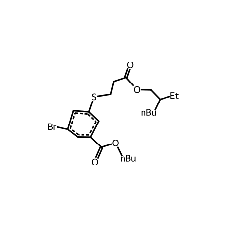 CCCCOC(=O)c1cc(Br)cc(SCCC(=O)OCC(CC)CCCC)c1